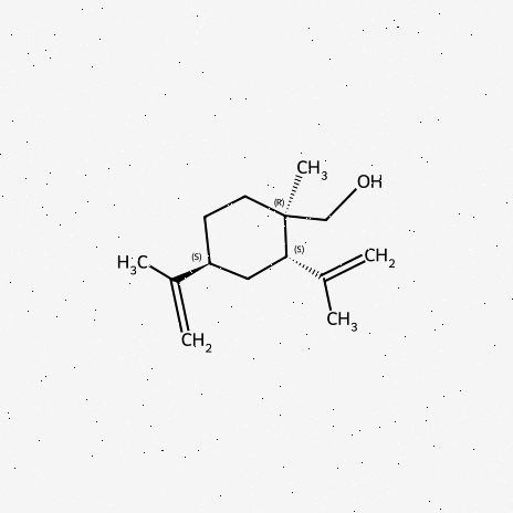 C=C(C)[C@H]1CC[C@@](C)(CO)[C@H](C(=C)C)C1